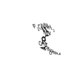 CC(C)(C)OC(=O)NCC(C1CC1)N1Cc2cc(-c3cnc4c(N)nc(C(F)(F)F)cn34)ccc2C1=O